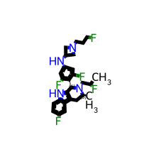 CC(F)CN1[C@@H](c2c(F)cc(NC3CN(CCCF)C3)cc2F)c2[nH]c3ccc(F)cc3c2C[C@@H]1C